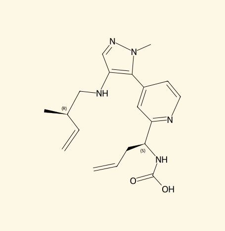 C=CC[C@H](NC(=O)O)c1cc(-c2c(NC[C@H](C)C=C)cnn2C)ccn1